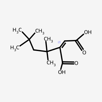 CC(C)(C)CC(C)(C)/C(=C/C(=O)O)C(=O)O